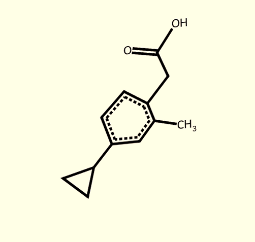 Cc1cc(C2CC2)ccc1CC(=O)O